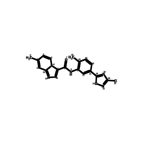 Cc1ccn2c(C(=O)Nc3cc(-c4nc(Cl)no4)ccc3C)cnc2c1